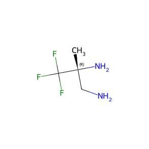 C[C@@](N)(CN)C(F)(F)F